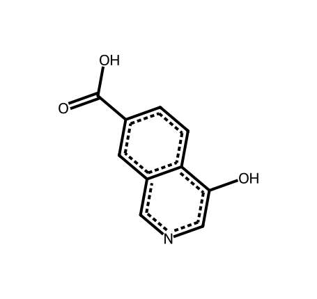 O=C(O)c1ccc2c(O)cncc2c1